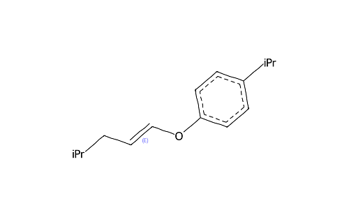 CC(C)C/C=C/Oc1ccc(C(C)C)cc1